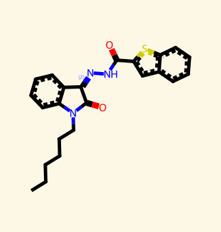 CCCCCCN1C(=O)/C(=N\NC(=O)c2cc3ccccc3s2)c2ccccc21